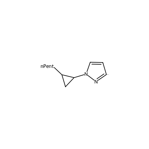 CCCCCC1CC1n1cc[c]n1